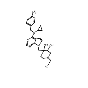 CC(=O)CN1CCC(O)(Cn2ccc3c(N(Cc4ccc(C(F)(F)F)cc4)C4CC4)ncnc32)C(O)C1